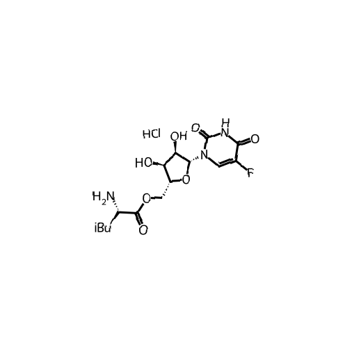 CC[C@H](C)[C@H](N)C(=O)OC[C@H]1O[C@@H](n2cc(F)c(=O)[nH]c2=O)[C@H](O)[C@@H]1O.Cl